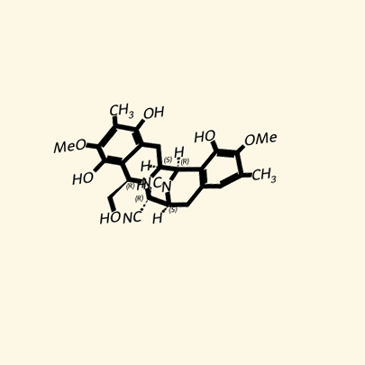 COc1c(C)cc2c(c1O)[C@@H]1[C@@H]3Cc4c(O)c(C)c(OC)c(O)c4[C@H](CO)N3[C@@H](C#N)[C@H](C2)N1C